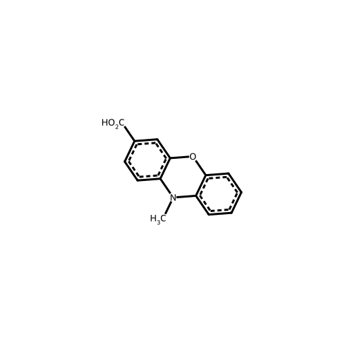 CN1c2ccccc2Oc2cc(C(=O)O)ccc21